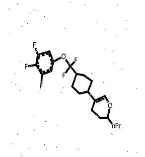 CCCC1CCC(C2CCC(C(F)(F)Oc3cc(F)c(F)c(F)c3)CC2)=CO1